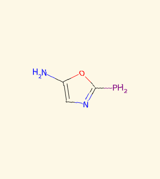 Nc1cnc(P)o1